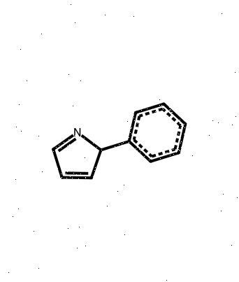 C1=CC(c2ccccc2)N=C1